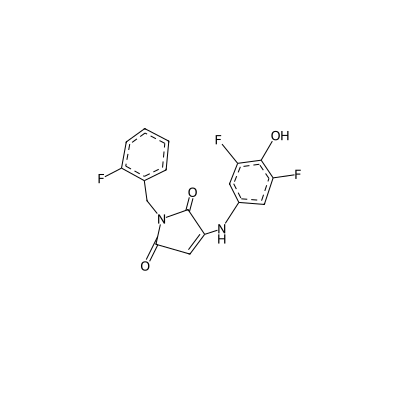 O=C1C=C(Nc2cc(F)c(O)c(F)c2)C(=O)N1Cc1ccccc1F